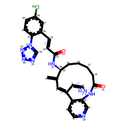 C=C1/C=C(\C=C/N)c2ccncc2NC(=O)CCCC[C@@H]1NC(=O)/C=C/c1cc(Cl)ccc1-n1cnnn1